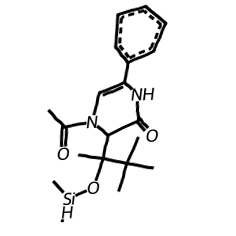 CC(=O)N1C=C(c2ccccc2)NC(=O)C1C(C)(O[SiH](C)C)C(C)(C)C